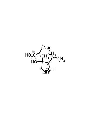 CC(C)CC(C)(O)C(O)N(C)C.CCCCCCCCCCC(=O)O